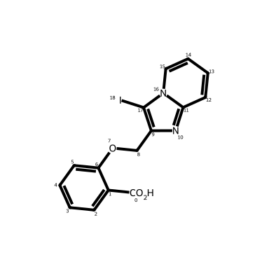 O=C(O)c1ccccc1OCc1nc2ccccn2c1I